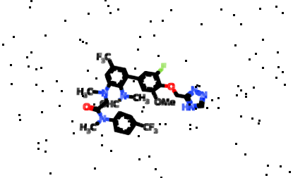 COc1cc(-c2cc(C(F)(F)F)cc(N(C)CC(=O)N(C)c3ccc(C(F)(F)F)cc3)c2N(C)C=O)cc(F)c1OCc1nnc[nH]1